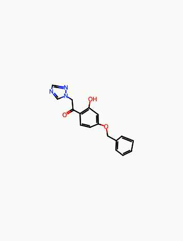 O=C(Cn1cncn1)c1ccc(OCc2ccccc2)cc1O